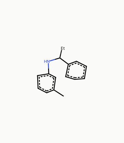 CCC(Nc1cccc(C)c1)c1ccccc1